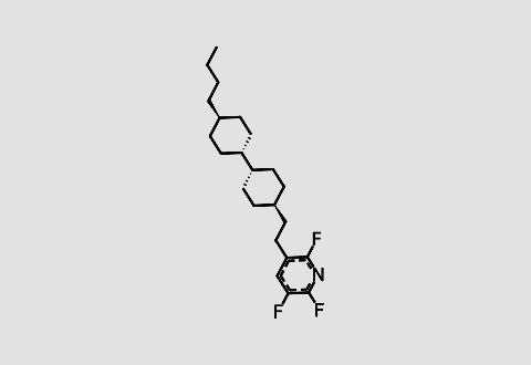 CCCC[C@H]1CC[C@H]([C@H]2CC[C@H](CCc3cc(F)c(F)nc3F)CC2)CC1